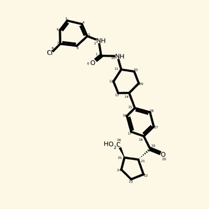 O=C(Nc1cccc(Cl)c1)NC1CCC(c2ccc(C(=O)[C@@H]3CCC[C@H]3C(=O)O)cc2)CC1